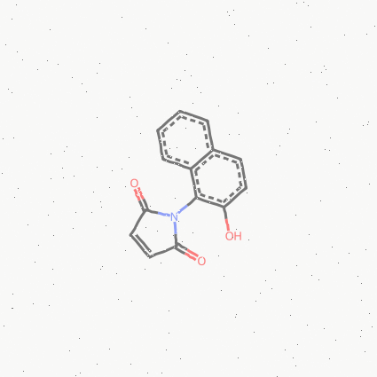 O=C1C=CC(=O)N1c1c(O)ccc2ccccc12